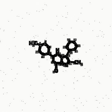 Cc1ccc(-c2cc(=O)n3nc(C)c(-c4ccccc4)c3[nH]2)cc1